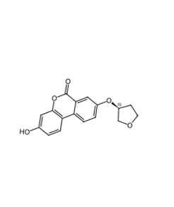 O=c1oc2cc(O)ccc2c2ccc(O[C@H]3CCOC3)cc12